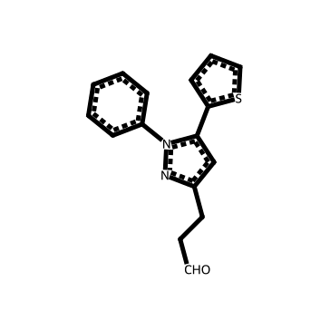 O=CCCc1cc(-c2cccs2)n(-c2ccccc2)n1